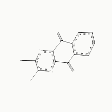 O=C1c2ccccc2C(=O)c2nc(Cl)c(Cl)nc21